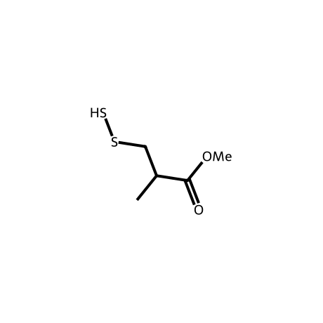 COC(=O)C(C)CSS